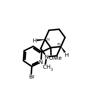 COC1(c2cccc(Br)n2)[C@@H]2CCC[C@H]1CN(C)C2